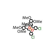 COc1cc(OC)c(/C=C/C(c2ccc(Cl)cc2)S(=O)(=O)C(/C=C/c2c(OC)cc(OC)cc2OC)c2ccc(Cl)cc2)c(OC)c1